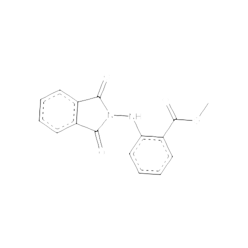 COC(=O)c1ccccc1NN1C(=O)c2ccccc2C1=O